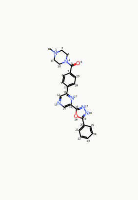 CN1CCN(C(=O)c2ccc(-c3cncc(-c4nnc(-c5ccccc5)o4)n3)cc2)CC1